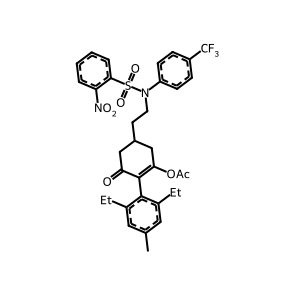 CCc1cc(C)cc(CC)c1C1=C(OC(C)=O)CC(CCN(c2ccc(C(F)(F)F)cc2)S(=O)(=O)c2ccccc2[N+](=O)[O-])CC1=O